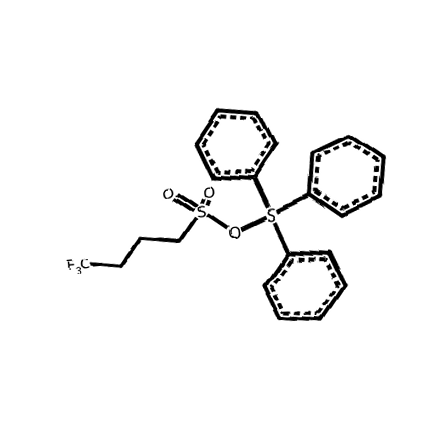 O=S(=O)(CCCC(F)(F)F)OS(c1ccccc1)(c1ccccc1)c1ccccc1